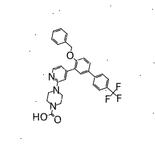 O=C(O)N1CCN(c2cc(-c3cc(-c4ccc(C(F)(F)F)cc4)ccc3OCc3ccccc3)ccn2)CC1